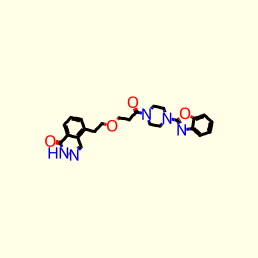 O=C(CCOCCc1cccc2c(=O)[nH]ncc12)N1CCN(c2nc3ccccc3o2)CC1